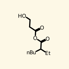 CCCCC(CC)C(=O)OC(=O)CCO